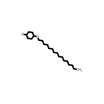 [CH2]CCCCCCCCCCCCCCCOC1CCC([O])CC1